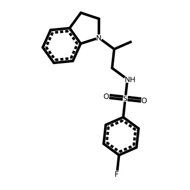 CC(CNS(=O)(=O)c1ccc(F)cc1)N1CCc2ccccc21